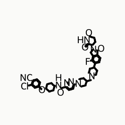 N#Cc1ccc(OC2CCC(NC(=O)c3ccc(N4CCC(CN5CCC(c6ccc7c(c6F)CN(C6CCC(=O)NC6=O)C7=O)CC5)CC4)nn3)CC2)cc1Cl